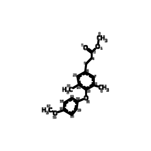 COC(=O)CCc1cc(C)c(Oc2ccc(OC)cc2)c(C)c1